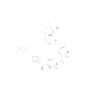 Cc1nc2ncc(-c3nc(Nc4ccc(C(=O)N5CC6(CCNCC6)C5)cn4)ncc3F)cc2n1C(C)C